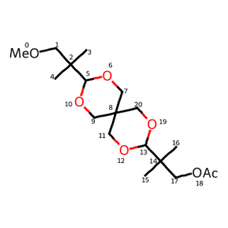 COCC(C)(C)C1OCC2(CO1)COC(C(C)(C)COC(C)=O)OC2